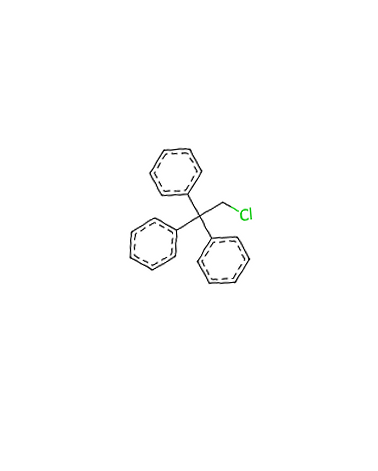 ClCC(c1ccccc1)(c1ccccc1)c1ccccc1